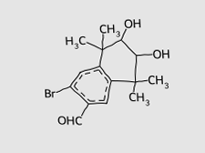 CC1(C)c2cc(Br)c(C=O)cc2C(C)(C)C(O)C1O